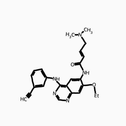 C#Cc1cccc(Nc2ncnc3cc(OCC)c(NC(=O)C=CCN(C)C)cc23)c1